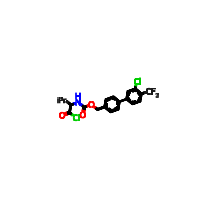 CC(C)C(NC(=O)OCc1ccc(-c2ccc(C(F)(F)F)c(Cl)c2)cc1)C(=O)Cl